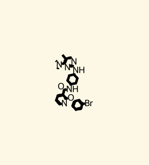 Cc1cnc(NC2CCC(NC(=O)c3cccnc3Oc3cccc(Br)c3)CC2)nc1N(C)C